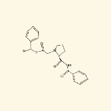 CCC(OC(=O)CN1CCC[C@H]1C(=O)NC(=O)c1ccccc1)c1ccccc1